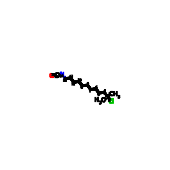 C[Si](C)(Cl)CCCCCCCCCCN=C=O